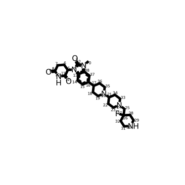 Cn1c(=O)n(C2CCC(=O)NC2=O)c2ccc(C3CCN(C4CCN(CC5(F)CCNCC5)CC4)CC3)cc21